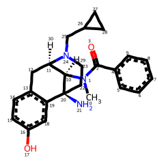 CN(C(=O)c1ccccc1)[C@@H]1[C@H]2Cc3ccc(O)cc3[C@@]1(N)CCN2CC1CC1